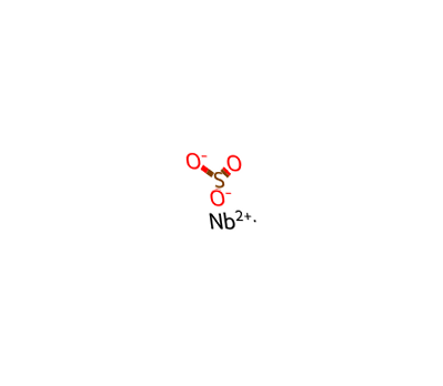 O=S([O-])[O-].[Nb+2]